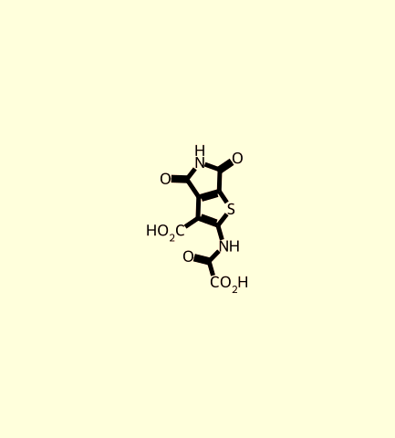 O=C(O)C(=O)Nc1sc2c(c1C(=O)O)C(=O)NC2=O